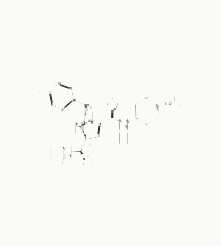 CNC(=O)c1cc(C(=O)N[C@H]2CC[C@H](OC)CC2)n([C@@H](C)c2ccccc2)n1